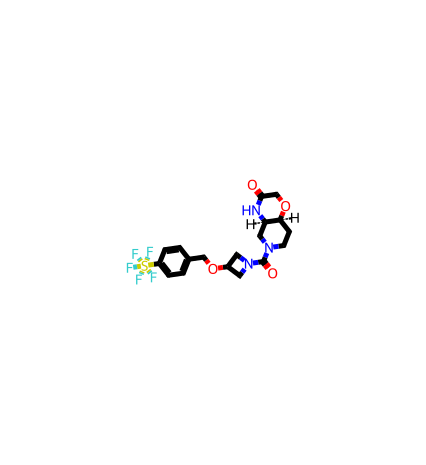 O=C1CO[C@H]2CCN(C(=O)N3CC(OCc4ccc(S(F)(F)(F)(F)F)cc4)C3)C[C@H]2N1